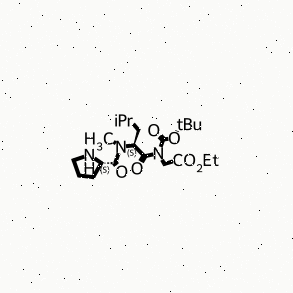 CCOC(=O)CN(C(=O)OC(C)(C)C)C(=O)[C@H](CC(C)C)N(C)C(=O)[C@@H]1CCCN1